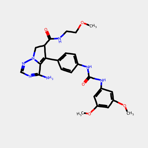 COCCNC(=O)C1CN2N=CN=C(N)C2=C1c1ccc(NC(=O)Nc2cc(OC)cc(OC)c2)cc1